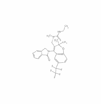 CCNC(=S)N(C)CC1=C(N2Cc3ccccc3C2=O)c2cc(C(F)(F)C(F)(F)F)ccc2OC1(C)C